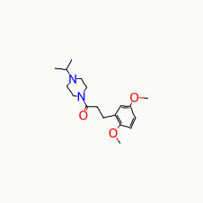 COc1ccc(OC)c(CCC(=O)N2CCN(C(C)C)CC2)c1